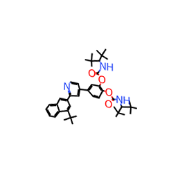 CC(C)(C)c1cc(-c2cc(-c3ccc(OC(=O)NC(C(C)(C)C)C(C)(C)C)c(OC(=O)NC(C(C)(C)C)C(C)(C)C)c3)ccn2)cc2ccccc12